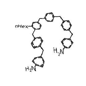 CCCCCCc1cc(Cc2ccc(Cc3ccc(Cc4ccc(N)cc4)cc3)cc2)ccc1Cc1ccc(Cc2ccc(N)cc2)cc1